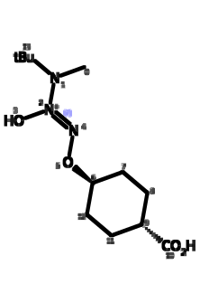 CN(/[N+](O)=N/O[C@H]1CC[C@H](C(=O)O)CC1)C(C)(C)C